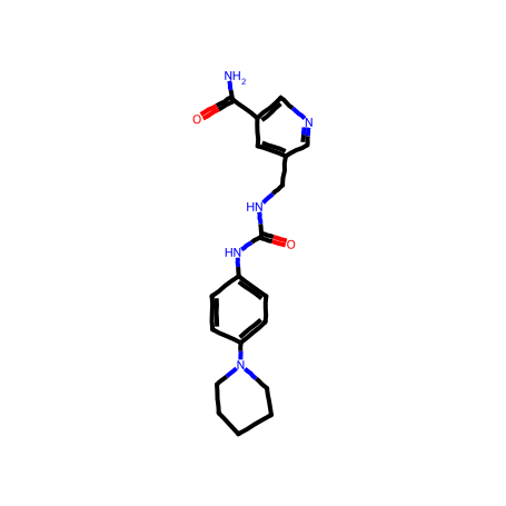 NC(=O)c1cncc(CNC(=O)Nc2ccc(N3CCCCC3)cc2)c1